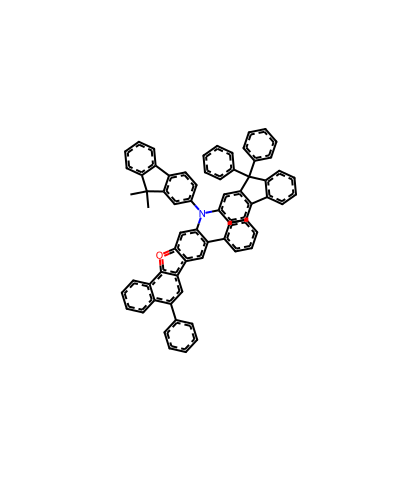 CC1(C)c2ccccc2-c2ccc(N(c3ccc4c(c3)C(c3ccccc3)(c3ccccc3)c3ccccc3-4)c3cc4oc5c6ccccc6c(-c6ccccc6)cc5c4cc3-c3ccccc3)cc21